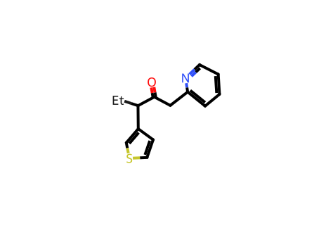 CCC(C(=O)Cc1ccccn1)c1ccsc1